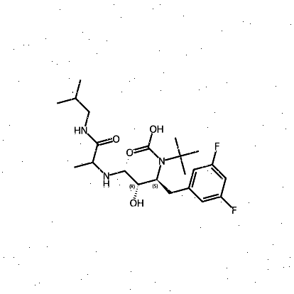 CC(C)CNC(=O)C(C)NC[C@@H](O)[C@H](Cc1cc(F)cc(F)c1)N(C(=O)O)C(C)(C)C